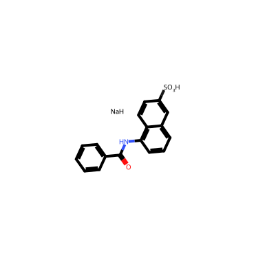 O=C(Nc1cccc2cc(S(=O)(=O)O)ccc12)c1ccccc1.[NaH]